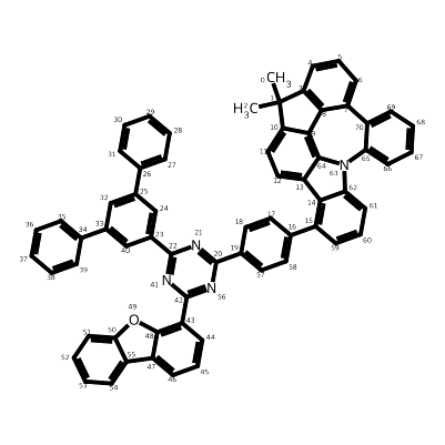 CC1(C)c2cccc3c2-c2c1ccc1c4c(-c5ccc(-c6nc(-c7cc(-c8ccccc8)cc(-c8ccccc8)c7)nc(-c7cccc8c7oc7ccccc78)n6)cc5)cccc4n(c21)-c1ccccc1-3